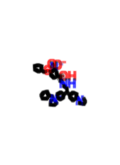 O=[N+]([O-])c1cc([C@@H](O)CNCCC(c2ccc(N3CCCC3)cc2)c2ccc([N+]3(Cc4ccccc4)CCCC3)cc2)ccc1OCc1ccccc1